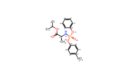 CCC(CC)OC(=O)[C@H](C)NP(=O)(Oc1ccccc1)Oc1ccc([N+](=O)[O-])cc1